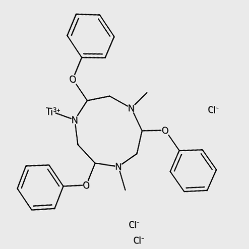 CN1CC(Oc2ccccc2)N(C)CC(Oc2ccccc2)[N]([Ti+3])CC1Oc1ccccc1.[Cl-].[Cl-].[Cl-]